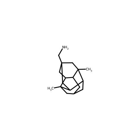 CC12CC3CC4C1CC1(CN)CC2C(C3)C4(C)C1